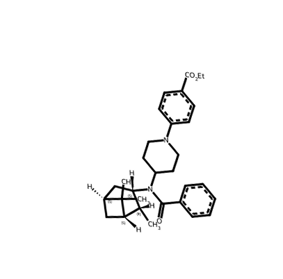 CCOC(=O)c1ccc(N2CCC(N(C(=O)c3ccccc3)[C@H]3C[C@@H]4C[C@@H]([C@H]3C)C4(C)C)CC2)cc1